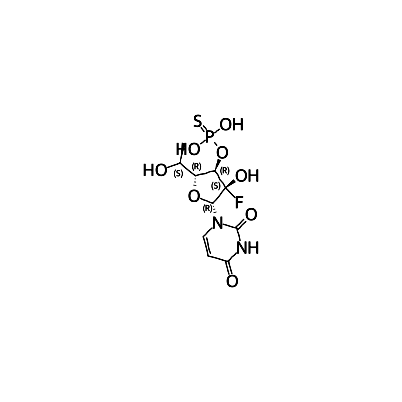 C[C@H](O)[C@H]1O[C@@H](n2ccc(=O)[nH]c2=O)[C@@](O)(F)[C@@H]1OP(O)(O)=S